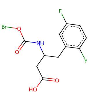 O=C(O)CC(Cc1cc(F)ccc1F)NC(=O)OBr